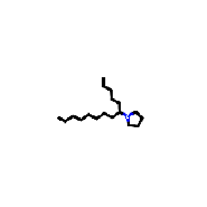 CCCCCCCCC(CCCCC)N1CCCC1